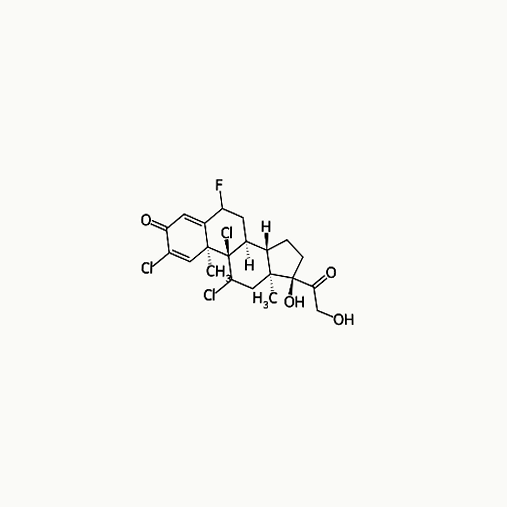 C[C@]12C=C(Cl)C(=O)C=C1C(F)C[C@H]1[C@@H]3CC[C@](O)(C(=O)CO)[C@@]3(C)CC(Cl)[C@@]12Cl